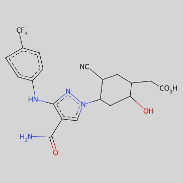 N#CC1CC(CC(=O)O)C(O)CC1n1cc(C(N)=O)c(Nc2ccc(C(F)(F)F)cc2)n1